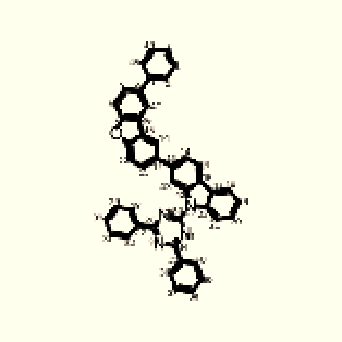 c1ccc(-c2ccc3oc4ccc(-c5ccc6c7ccccc7n(-c7nc(-c8ccccc8)nc(-c8ccccc8)n7)c6c5)cc4c3c2)cc1